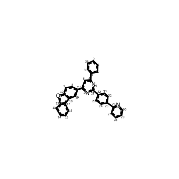 c1ccc(-c2cc(-c3ccc4oc5ccccc5c4c3)nc(-c3ccc(-c4ccccn4)cc3)n2)cc1